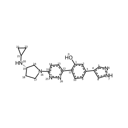 Oc1cc(-c2cn[nH]c2)ccc1-c1ccc(N2CC[C@H](NC3CC3)C2)nn1